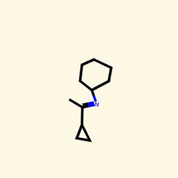 C/C(=N\C1CCCCC1)C1CC1